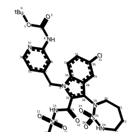 CC(C)(C)OC(=O)Nc1cc(Cn2c(C(=O)NS(C)(=O)=O)c(N3CCCCNS3(=O)=O)c3cc(Cl)ccc32)ccn1